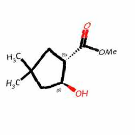 COC(=O)[C@H]1CC(C)(C)C[C@@H]1O